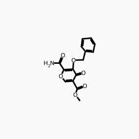 COC(=O)c1coc(C(N)=O)c(OCc2ccccc2)c1=O